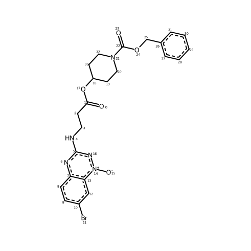 O=C(CCNc1nc2ccc(Br)cc2[n+]([O-])n1)OC1CCN(C(=O)OCc2ccccc2)CC1